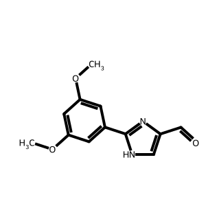 COc1cc(OC)cc(-c2nc(C=O)c[nH]2)c1